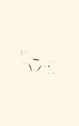 COC(=O)c1cc(C)c(C)c(O)c1